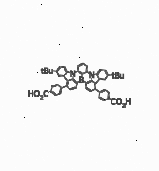 CC(C)(C)c1ccc2c(c1)c1c(-c3ccc(C(=O)O)cc3)ccc3c1n2-c1cccc2c1B3c1ccc(-c3ccc(C(=O)O)cc3)c3c4cc(C(C)(C)C)ccc4n-2c13